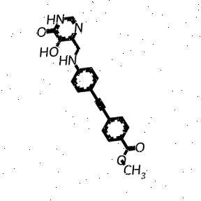 COC(=O)c1ccc(C#Cc2ccc(NCc3nc[nH]c(=O)c3O)cc2)cc1